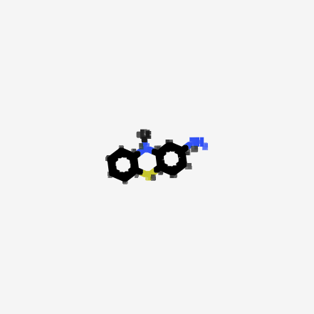 CCN1c2ccccc2Sc2ccc(N)cc21